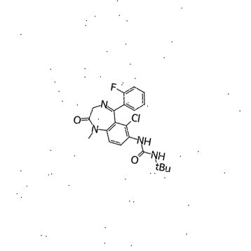 CN1C(=O)CN=C(c2ccccc2F)c2c1ccc(NC(=O)NC(C)(C)C)c2Cl